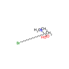 C=C(C(=O)O)C(CCCCCCCCCCCCCCCCBr)CCN(C)C